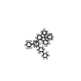 c1ccc(-c2ccc(-c3cc(-c4cccc5c4-c4ccccc4C5(c4ccccc4)c4cccnc4)nc(-c4ccccc4)n3)cc2)cc1